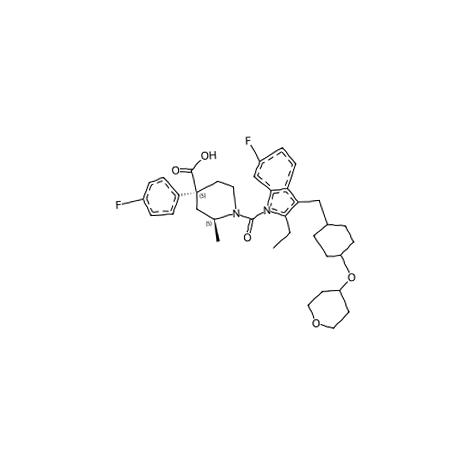 CCc1c(CC2CCC(OC3CCOCC3)CC2)c2ccc(F)cc2n1C(=O)N1CC[C@@](C(=O)O)(c2ccc(F)cc2)C[C@@H]1C